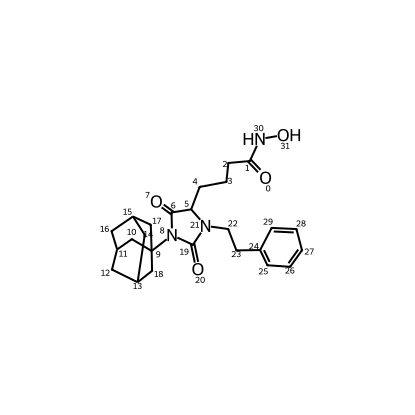 O=C(CCCC1C(=O)N(C23CC4CC(CC(C4)C2)C3)C(=O)N1CCc1ccccc1)NO